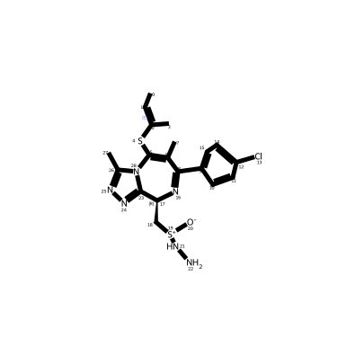 C/C=C(\C)SC1=C(C)C(c2ccc(Cl)cc2)=N[C@@H](C[S+]([O-])NN)c2nnc(C)n21